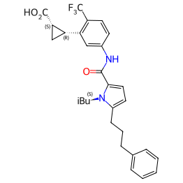 CC[C@H](C)n1c(CCCc2ccccc2)ccc1C(=O)Nc1ccc(C(F)(F)F)c([C@@H]2C[C@@H]2C(=O)O)c1